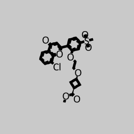 COC(=O)[C@H]1C[C@@H](OCCOc2cc(S(C)(=O)=O)ccc2-c2cc(=O)c3cccc(Cl)c3o2)C1